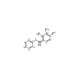 Fc1ccc(NCc2cc[c]cc2)c(F)c1F